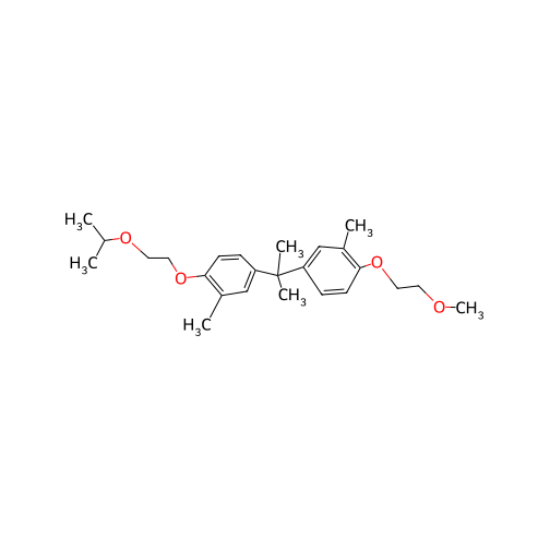 COCCOc1ccc(C(C)(C)c2ccc(OCCOC(C)C)c(C)c2)cc1C